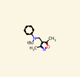 Cc1noc(C)c1CN(c1ccccc1)C(C)(C)C